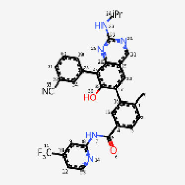 Cc1ccc(C(=O)Nc2cc(C(F)(F)F)ccn2)cc1-c1cc2cnc(NC(C)C)nc2c(-c2cccc(C#N)c2)c1O